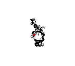 CCn1c(-c2cccnc2C(C)C)c2c3cc(ccc31)-c1csc(n1)C[C@H](NC(=O)[C@H](C(C)C)N(C)C(=O)N1CC[C@@H](N(C)C(=O)[C@H]3CN3)C1)C(=O)N1CCC[C@H](N1)C(=O)OCC(C)(C)C2